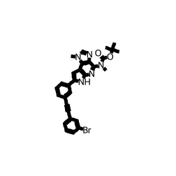 CN(C(=O)OC(C)(C)C)c1nc2[nH]c(-c3cccc(C#Cc4cccc(Br)c4)c3)cc2c2c1ncn2C